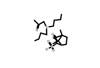 CC12CCC(C(S(=O)(=O)[O-])C1=O)C2(C)C.CCCC[S+](CCCC)CC(C)=O